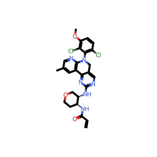 C=CC(=O)N[C@H]1CCOC[C@H]1Nc1ncc2c(n1)-c1cc(C)cnc1N(c1c(Cl)ccc(OC)c1Cl)C2